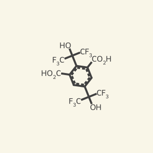 O=C(O)c1cc(C(O)(C(F)(F)F)C(F)(F)F)cc(C(=O)O)c1C(O)(C(F)(F)F)C(F)(F)F